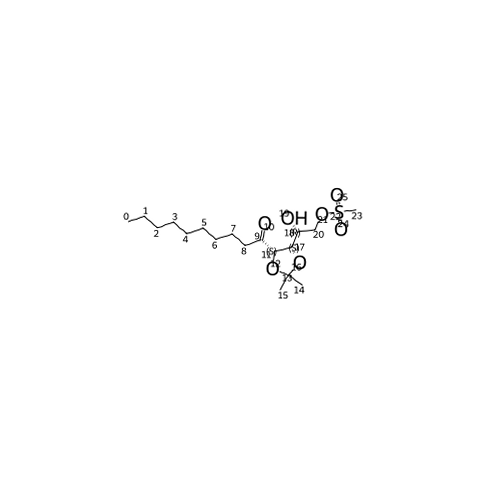 CCCCCCCCCC(=O)[C@H]1OC(C)(C)O[C@H]1[C@H](O)COS(C)(=O)=O